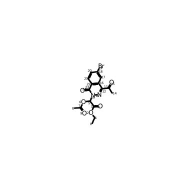 CCOC(=O)C(OC(C)=O)n1nc(C(C)=O)c2cc(Br)ccc2c1=O